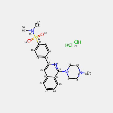 CCN1CCN(c2nc(-c3ccc(S(=O)(=O)N(CC)CC)cc3)cc3ccccc23)CC1.Cl.Cl